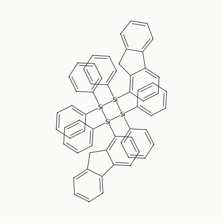 c1ccc([Si]2(c3ccccc3)[Si](c3ccccc3)(c3cccc4c3Cc3ccccc3-4)[Si](c3ccccc3)(c3ccccc3)[Si]2(c2ccccc2)c2cccc3c2Cc2ccccc2-3)cc1